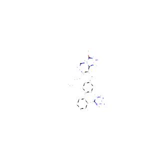 CCCCc1nc(C)n2c(=O)[nH]nc2c1Cc1ccc(-c2ccccc2-c2nnn[nH]2)cc1